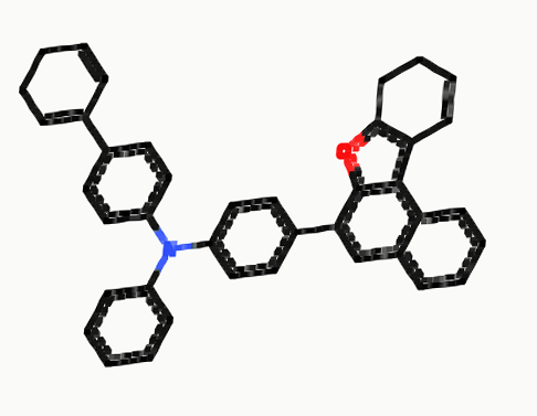 C1=CC(c2ccc(N(c3ccccc3)c3ccc(-c4cc5ccccc5c5c6c(oc45)CCC=C6)cc3)cc2)=CCC1